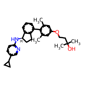 Cc1cc(OCCC(C)(C)O)cc(C)c1-c1cccc2c1CC[C@H]2Nc1ccc(C2CC2)cn1